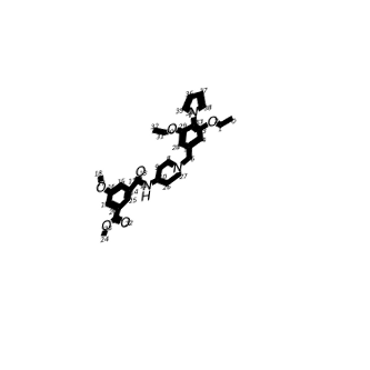 CCOc1cc(CN2CCC(NC(=O)c3cc(OC)cc(C(=O)OC)c3)CC2)cc(OCC)c1-n1cccc1